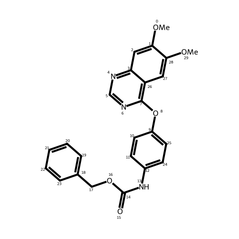 COc1cc2ncnc(Oc3ccc(NC(=O)OCc4ccccc4)cc3)c2cc1OC